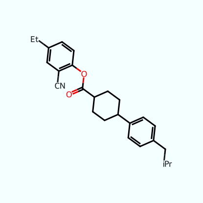 CCc1ccc(OC(=O)C2CCC(c3ccc(CC(C)C)cc3)CC2)c(C#N)c1